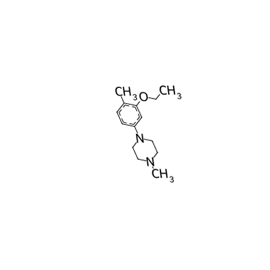 CCOc1cc(N2CCN(C)CC2)ccc1C